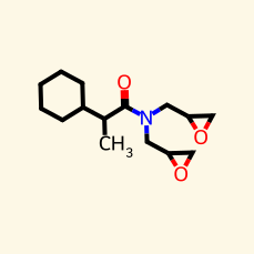 CC(C(=O)N(CC1CO1)CC1CO1)C1CCCCC1